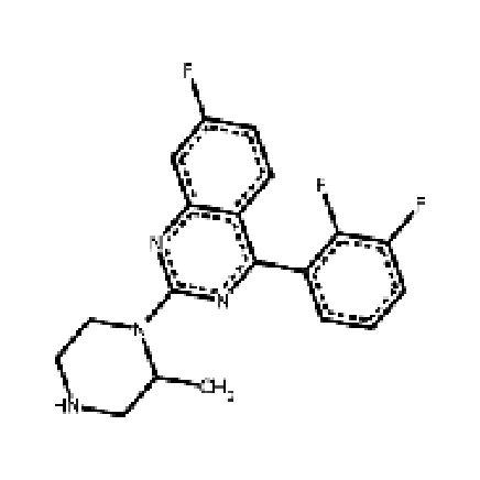 CC1CNCCN1c1nc(-c2cccc(F)c2F)c2ccc(F)cc2n1